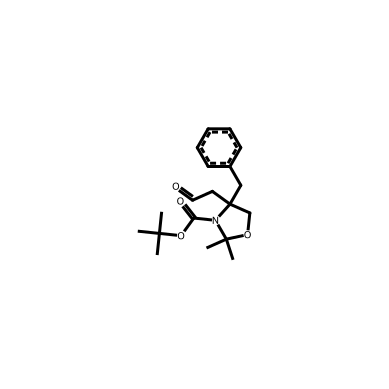 CC(C)(C)OC(=O)N1C(CC=O)(Cc2ccccc2)COC1(C)C